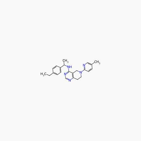 CCc1ccc(C(C)Nc2ncnc3c2CN(c2ccc(C)cn2)CC3)cc1